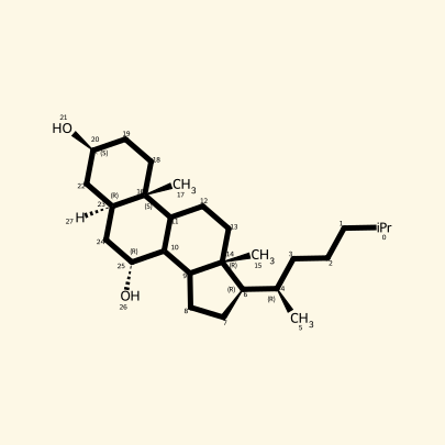 CC(C)CCC[C@@H](C)[C@H]1CCC2C3C(CC[C@@]21C)[C@@]1(C)CC[C@H](O)C[C@@H]1C[C@H]3O